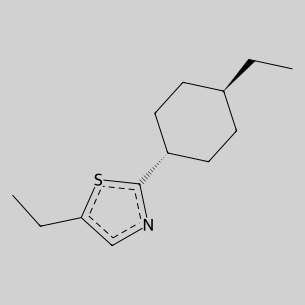 CCc1cnc([C@H]2CC[C@H](CC)CC2)s1